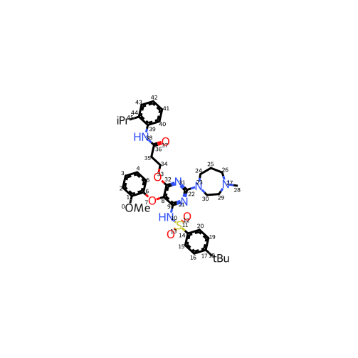 COc1ccccc1Oc1c(NS(=O)(=O)c2ccc(C(C)(C)C)cc2)nc(N2CCCN(C)CC2)nc1OCCC(=O)Nc1ccccc1C(C)C